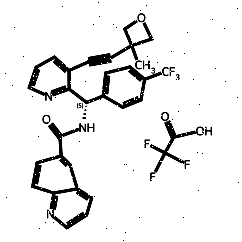 CC1(C#Cc2cccnc2[C@@H](NC(=O)c2ccc3ncccc3c2)c2ccc(C(F)(F)F)cc2)COC1.O=C(O)C(F)(F)F